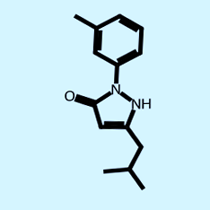 Cc1cccc(-n2[nH]c(CC(C)C)cc2=O)c1